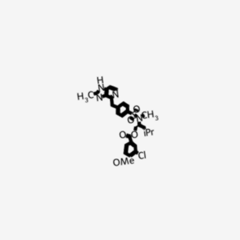 COc1ccc(C(=O)OC[C@H](CC(C)C)N(C)S(=O)(=O)c2ccc(Cc3nccc4[nH]c(C)nc34)cc2)cc1Cl